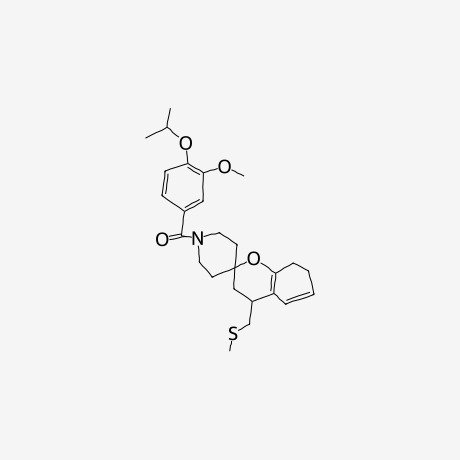 COc1cc(C(=O)N2CCC3(CC2)CC(CSC)C2=C(CCC=C2)O3)ccc1OC(C)C